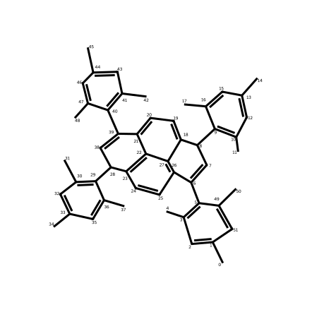 Cc1cc(C)c(C2=CC(c3c(C)cc(C)cc3C)c3ccc4c5c(ccc2c35)C(c2c(C)cc(C)cc2C)C=C4c2c(C)cc(C)cc2C)c(C)c1